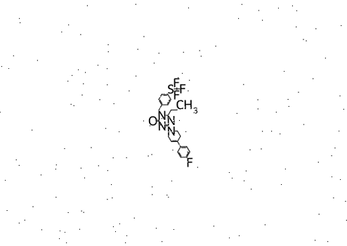 CCCc1nc(N2CC=C(c3ccc(F)cc3)CC2)nc(=O)n1Cc1ccc(SC(F)(F)F)cc1